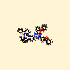 c1ccc(-n2c3ccccc3c3cccc(-n4c5ccccc5c5ccc(-c6nc(-c7ccc8c(c7)oc7ccccc78)nc(-c7cccc8c7oc7ccccc78)n6)cc54)c32)cc1